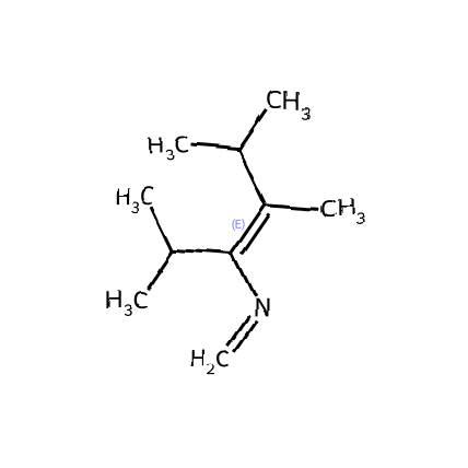 C=N/C(=C(\C)C(C)C)C(C)C